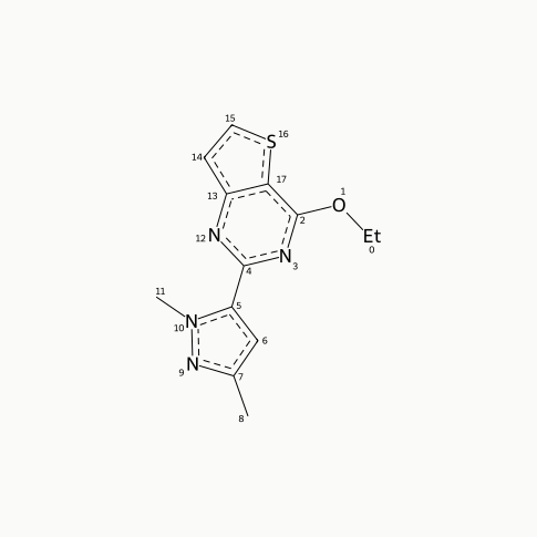 CCOc1nc(-c2cc(C)nn2C)nc2ccsc12